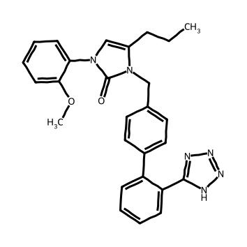 CCCc1cn(-c2ccccc2OC)c(=O)n1Cc1ccc(-c2ccccc2-c2nnn[nH]2)cc1